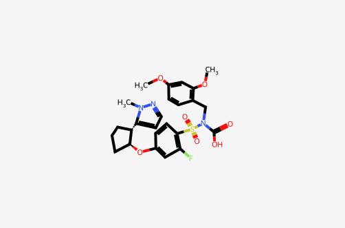 COc1ccc(CN(C(=O)O)S(=O)(=O)c2ccc(O[C@H]3CCC[C@@H]3c3ccnn3C)cc2F)c(OC)c1